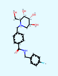 O=C(NCc1ccc(F)cc1)c1ccc(CN2C[C@H](O)[C@@H](O)[C@@H](O)[C@@H]2CO)cc1